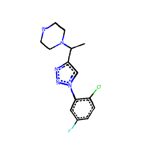 CC(c1cn(-c2cc(F)ccc2Cl)nn1)N1CC[N]CC1